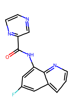 O=C(Nc1cc(F)cc2cccnc12)c1cnccn1